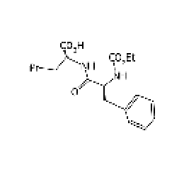 CCOC(=O)N[C@@H](Cc1ccccc1)C(=O)N[C@@H](CC(C)C)C(=O)O